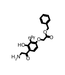 CCCc1c(OCC(=O)OCc2ccccc2)ccc(C(=O)CN)c1O